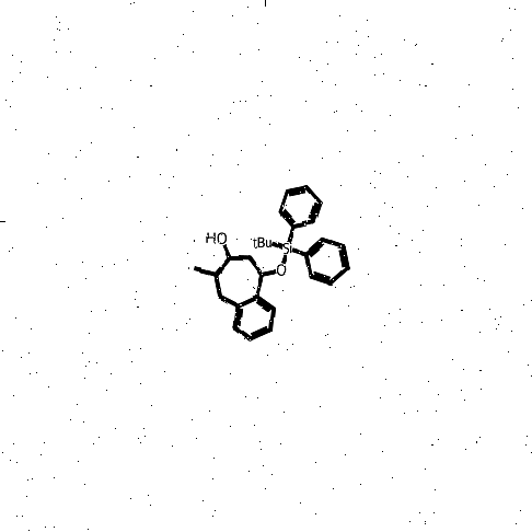 [CH2]C1Cc2ccccc2C(O[Si](c2ccccc2)(c2ccccc2)C(C)(C)C)CC1O